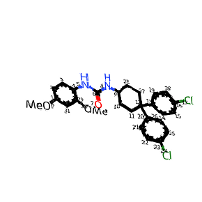 COc1ccc(NC(=O)NC2CCC(c3ccc(Cl)cc3)(c3ccc(Cl)cc3)CC2)c(OC)c1